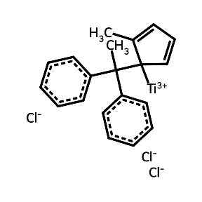 CC1=CC=C[C]1([Ti+3])C(C)(c1ccccc1)c1ccccc1.[Cl-].[Cl-].[Cl-]